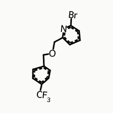 FC(F)(F)c1ccc(COCc2cccc(Br)n2)cc1